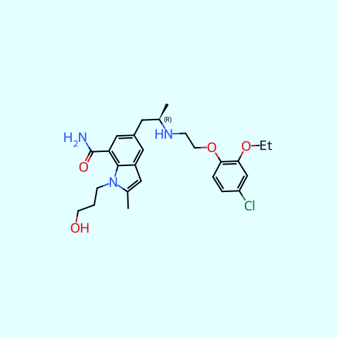 CCOc1cc(Cl)ccc1OCCN[C@H](C)Cc1cc(C(N)=O)c2c(c1)cc(C)n2CCCO